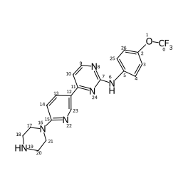 FC(F)(F)Oc1ccc(Nc2nccc(-c3ccc(N4CCNCC4)nc3)n2)cc1